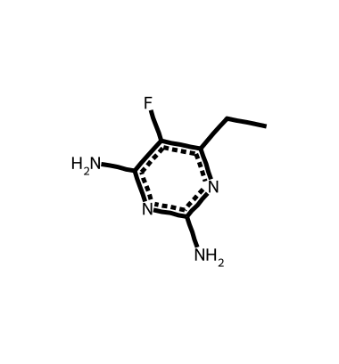 CCc1nc(N)nc(N)c1F